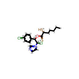 CCCCCC(S)C(=S)OC(c1ccc(Cl)cc1)C(Cl)n1ccnc1